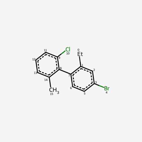 CCc1cc(Br)ccc1-c1c(Cl)[c]ccc1C